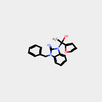 CC(O)(c1ccco1)n1c(=N)n(Cc2ccccc2)c2ccccc21